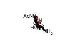 CC(=O)Nc1ccc2[nH]c(C(=O)N3CC(CI)c4c3cc(O)c3ccc(C(=O)NCCCN)cc43)cc2c1